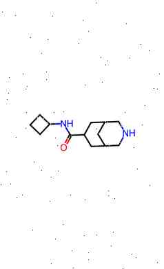 O=C(NC1CCC1)C1CC2CNCC(C2)C1